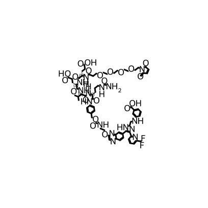 CC(C)[C@H](NC(=O)[C@H](CCC(=O)O)NC(=O)[C@H](CCC(=O)O)NC(=O)CCOCCOCCOCCOCCN1C(=O)C=CC1=O)C(=O)N[C@@H](CCCNC(N)=O)C(=O)Nc1ccc(COC(=O)NCCOc2cnc3ccc(-c4[nH]c(CNc5cccc(C(=O)O)c5)nc4-c4cccc(C(F)F)n4)cc3n2)cc1